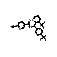 N#Cc1ccc(C(=O)NC(c2ccc(C(F)(F)F)cc2)c2ncccc2C(F)(F)F)cn1